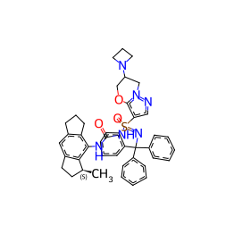 C[C@H]1CCc2cc3c(c(NC(=O)NS(=O)(=NC(c4ccccc4)(c4ccccc4)c4ccccc4)c4cnn5c4OCC(N4CCC4)C5)c21)CCC3